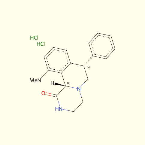 CNc1cccc2c1[C@H]1C(=O)NCCN1C[C@H]2c1ccccc1.Cl.Cl